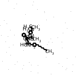 CCCCCCCCc1ccc(CCC(N)(CO)COP(=O)(N[C@@H](Cc2ccc(OC(C)(C)C)cc2)C(=O)OC)Oc2ccccc2)cc1